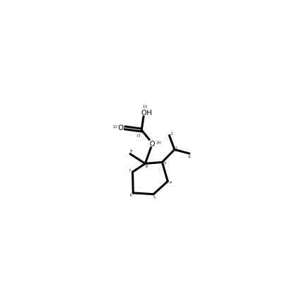 CC(C)C1CCCCC1(C)OC(=O)O